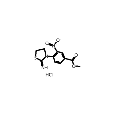 COC(=O)c1ccc(N2CCSC2=N)c([N+](=O)[O-])c1.Cl